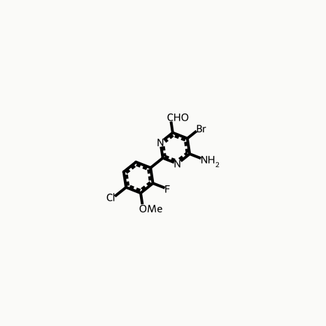 COc1c(Cl)ccc(-c2nc(N)c(Br)c(C=O)n2)c1F